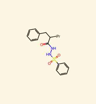 CC(C)C(Cc1ccccc1)C(=O)NNS(=O)(=O)c1ccccc1